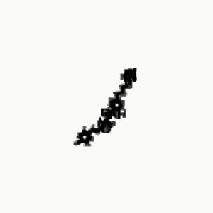 Cc1ccc(/C=C/c2nc(C(=O)Nc3ccc(CCCCn4ccnn4)cc3)co2)cc1